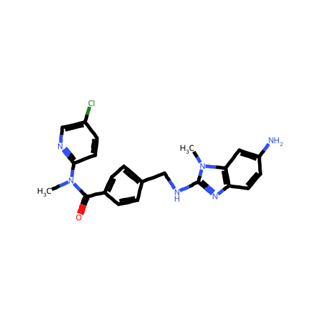 CN(C(=O)c1ccc(CNc2nc3ccc(N)cc3n2C)cc1)c1ccc(Cl)cn1